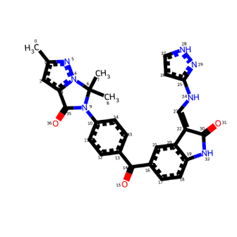 Cc1cc2n(n1)C(C)(C)N(c1ccc(C(=O)c3ccc4c(c3)/C(=C/Nc3cc[nH]n3)C(=O)N4)cc1)C2=O